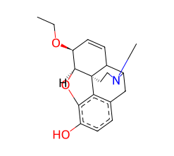 CCO[C@H]1C=CC2C3Cc4ccc(O)c5c4[C@@]2(CCN3C)[C@H]1O5